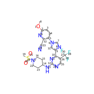 COc1ccc(-n2cnc(-c3nc(NC4CCN(S(C)(=O)=O)CC4)ncc3C(F)(F)F)c2)c(C#N)n1